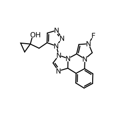 OC1(Cc2cnnn2N2C=NC3c4ccccc4N4CN(F)C=C4N32)CC1